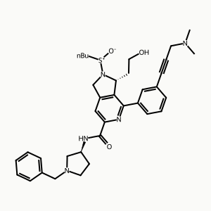 CCCC[S+]([O-])N1Cc2cc(C(=O)N[C@H]3CCN(Cc4ccccc4)C3)nc(-c3cccc(C#CCN(C)C)c3)c2[C@H]1CCO